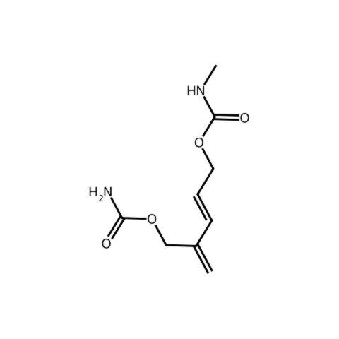 C=C(C=CCOC(=O)NC)COC(N)=O